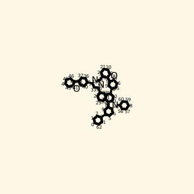 c1ccc(-c2ccc3c(c2)c2ccc(-c4ccc5oc6cccc(-c7nc(-c8ccccc8)cc(-c8ccc9c(c8)oc8ccccc89)n7)c6c5c4)cc2n3-c2ccccc2)cc1